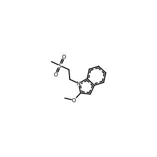 COc1cc2ccccc2n1CCS(C)(=O)=O